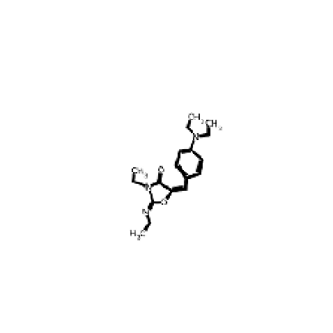 CC/N=C1\O/C(=C/c2ccc(N(CC)CC)cc2)C(=O)N1CC